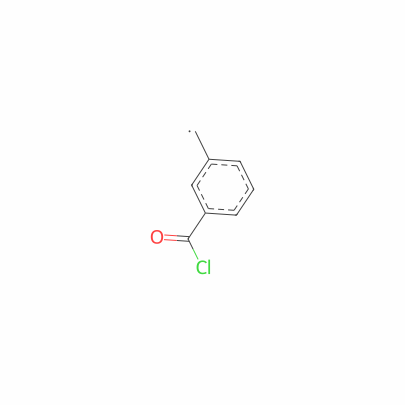 [CH2]c1cccc(C(=O)Cl)c1